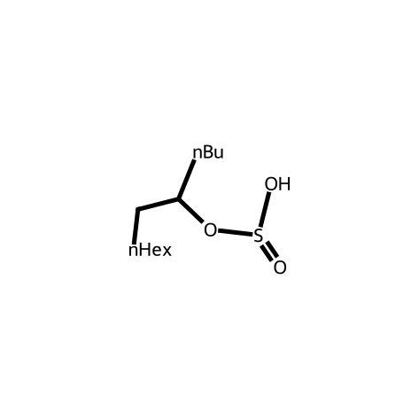 CCCCCCCC(CCCC)OS(=O)O